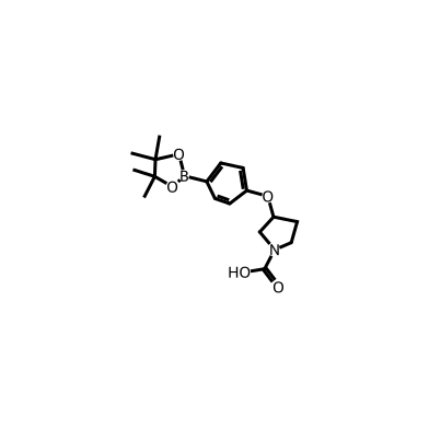 CC1(C)OB(c2ccc(OC3CCN(C(=O)O)C3)cc2)OC1(C)C